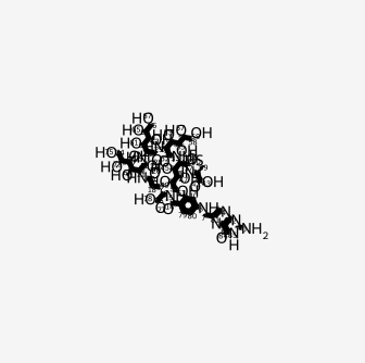 Nc1nc2ncc(CNc3ccc(C(=O)N[C@@H](CCC(=O)N[C@H](C(=O)N[C@H](C(=O)N[C@H](C(=O)N[C@@H](C(=O)N[C@@H](CS)C(=O)O)[C@H](O)[C@@H](O)[C@@H](O)CO)[C@@H](O)[C@H](O)[C@H](O)CO)[C@H](O)[C@@H](O)[C@@H](O)CO)[C@@H](O)[C@H](O)[C@H](O)CO)C(=O)O)cc3)nc2c(=O)[nH]1